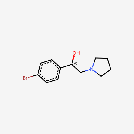 O[C@@H](CN1CCCC1)c1ccc(Br)cc1